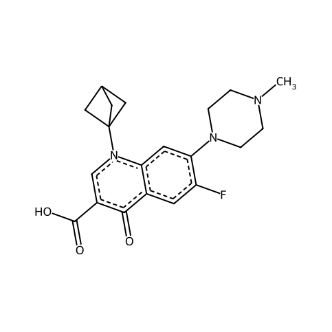 CN1CCN(c2cc3c(cc2F)c(=O)c(C(=O)O)cn3C23CC(C2)C3)CC1